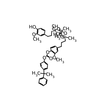 COc1cc(CCC[Si](C)(C)O[Si](C)(C)O[Si](C)(C)CCCc2ccc(OC(=O)Oc3ccc(C(C)(C)c4ccccc4)cc3)c(OC)c2)ccc1O